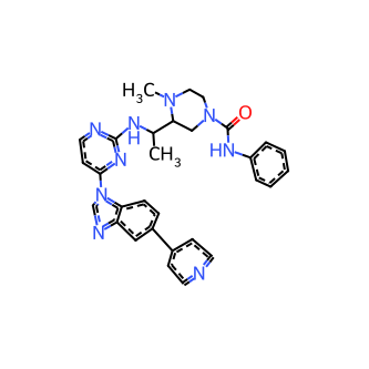 CC(Nc1nccc(-n2cnc3cc(-c4ccncc4)ccc32)n1)C1CN(C(=O)Nc2ccccc2)CCN1C